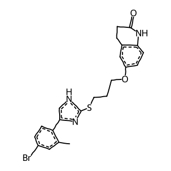 Cc1cc(Br)ccc1-c1c[nH]c(SCCCOc2ccc3c(c2)CCC(=O)N3)n1